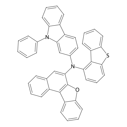 c1ccc(-n2c3ccccc3c3ccc(N(c4cc5ccccc5c5c4oc4ccccc45)c4cccc5sc6ccccc6c45)cc32)cc1